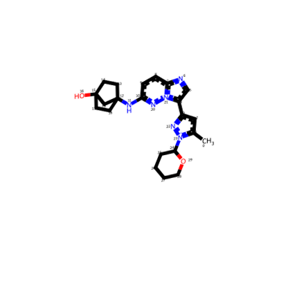 Cc1cc(-c2cnc3ccc(NC45CCC(O)(CC4)C5)nn23)nn1C1CCCCO1